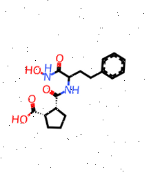 O=C(NO)C(CCc1ccccc1)NC(=O)[C@@H]1CCC[C@@H]1C(=O)O